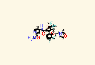 C[C@@H]1COCCN1CCOc1c([C@H]2[C@H](C(=O)Nc3ccnc(C(N)=O)c3)O[C@@](C)(C(F)(F)F)[C@H]2C)ccc(F)c1F